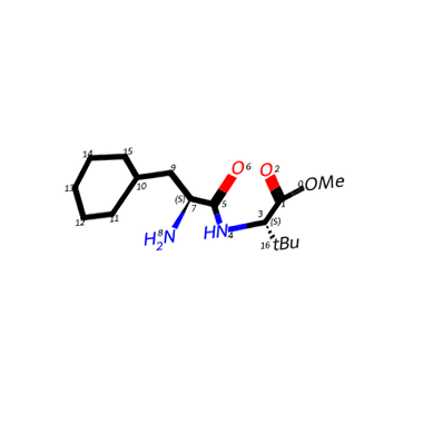 COC(=O)[C@@H](NC(=O)[C@@H](N)CC1CCCCC1)C(C)(C)C